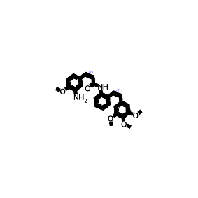 COc1ccc(/C=C\C(=O)Nc2ccccc2/C=C\c2cc(OC)c(OC)c(OC)c2)cc1N